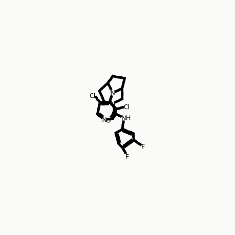 O=C(Nc1ccc(F)c(F)c1)N1CCC2CCC(C1)N2c1c(Cl)cncc1Cl